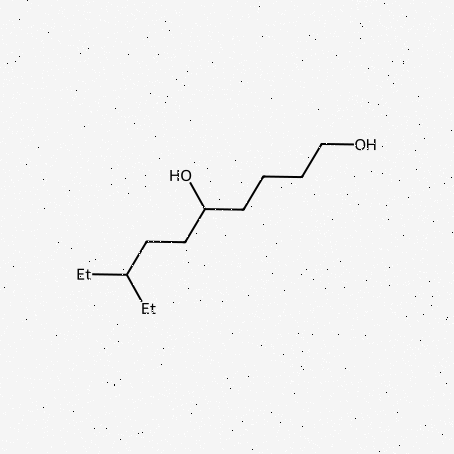 CCC(CC)CCC(O)CCCCO